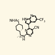 CC(=O)N[C@H]1CC[C@H]([C@@H](C)Nc2ncc(C#N)c(-c3c[nH]c4ncc(C(F)(F)F)cc34)n2)CC1